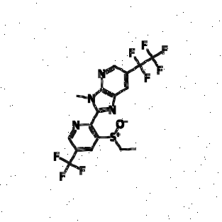 CC[S+]([O-])c1cc(C(F)(F)F)cnc1-c1nc2cc(C(F)(F)C(F)(F)F)cnc2n1C